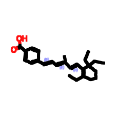 CCC1=C(/C=C/C(C)=C/C=C/c2ccc(C(=O)O)cc2)C(CC)(CC)CCC1